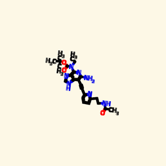 CCN(C(=O)OC(C)(C)C)c1nc(N)c(C#Cc2cccc(CCNC(C)=O)n2)c2[nH]cnc12